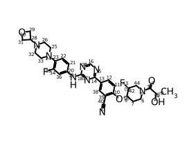 C[C@H](O)C(=O)N1CC[C@H](Oc2ccc(-c3ncnc(Nc4ccc(N5CCN(C6COC6)CC5)c(F)c4)n3)cc2C#N)[C@@H](F)C1